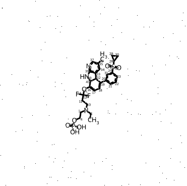 CCN(CCOP(=O)(O)O)CCC(F)(F)OC1=CC=C(c2cccc(S(=O)(=O)C3CC3)c2)C2c3cc(C)cnc3NC12